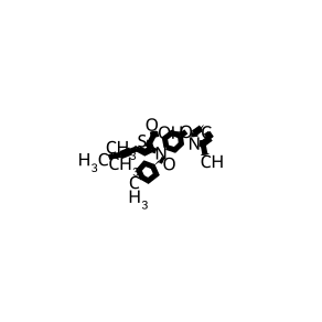 C#Cc1cccc(OC2CCC(N(c3cc(C#CC(C)(C)C)sc3C(=O)O)C(=O)[C@H]3CC[C@H](C)CC3)CC2)n1